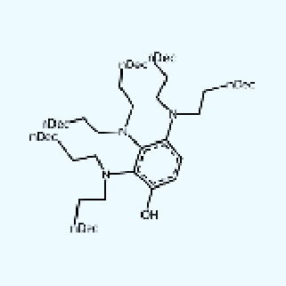 CCCCCCCCCCCCN(CCCCCCCCCCCC)c1ccc(O)c(N(CCCCCCCCCCCC)CCCCCCCCCCCC)c1N(CCCCCCCCCCCC)CCCCCCCCCCCC